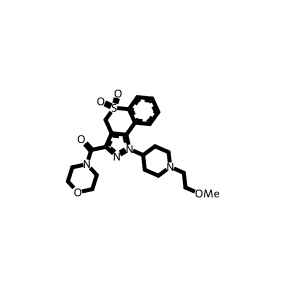 COCCN1CCC(n2nc(C(=O)N3CCOCC3)c3c2-c2ccccc2S(=O)(=O)C3)CC1